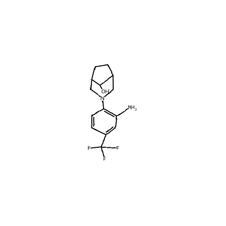 Nc1cc(C(F)(F)F)ccc1N1C[C]2CCC(C1)C2O